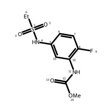 CCS(=O)(=O)Nc1ccc(F)c(NC(=O)OC)c1